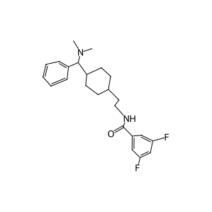 CN(C)C(c1ccccc1)C1CCC(CCNC(=O)c2cc(F)cc(F)c2)CC1